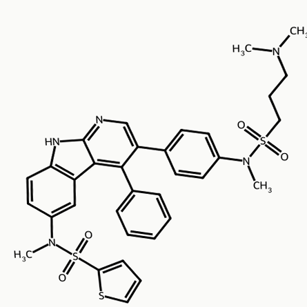 CN(C)CCCS(=O)(=O)N(C)c1ccc(-c2cnc3[nH]c4ccc(N(C)S(=O)(=O)c5cccs5)cc4c3c2-c2ccccc2)cc1